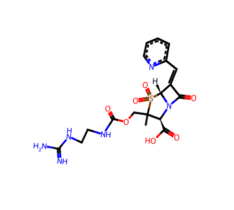 CC1(COC(=O)NCCNC(=N)N)[C@H](C(=O)O)N2C(=O)/C(=C/c3ccccn3)[C@H]2S1(=O)=O